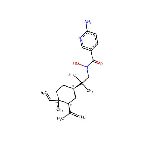 C=C[C@]1(C)CC[C@@H](C(C)(C)CN(O)C(=O)c2ccc(N)nc2)C[C@H]1C(=C)C